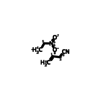 C=C[CH]C#N.[CH2]C[N+](=O)[O-]